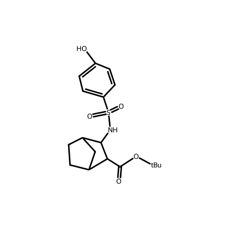 CC(C)(C)OC(=O)C1C2CCC(C2)C1NS(=O)(=O)c1ccc(O)cc1